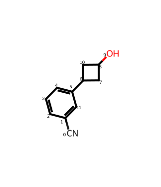 N#Cc1cccc(C2CC(O)C2)c1